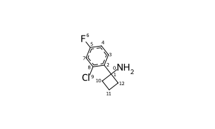 NC1(c2ccc(F)cc2Cl)CCC1